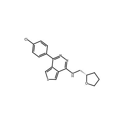 Clc1ccc(-c2nnc(NC[C@@H]3CCCO3)c3cscc23)cc1